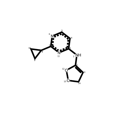 C1=C(Nc2ccnc(C3CC3)n2)OOC1